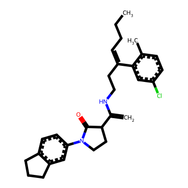 C=C(NCC/C(=C/CCC)c1cc(Cl)ccc1C)C1CCN(c2ccc3c(c2)CCC3)C1=O